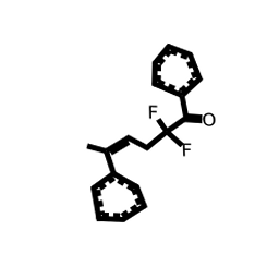 CC(=CCC(F)(F)C(=O)c1ccccc1)c1ccccc1